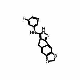 Fc1cccc(Nc2[nH]nc3c2Cc2cc4c(cc2-3)OCO4)c1